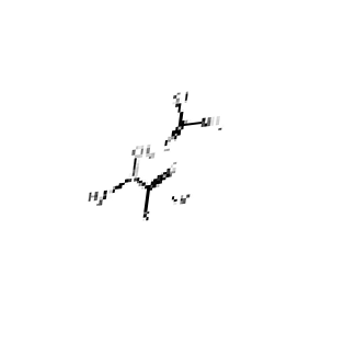 CN(C)C(=S)[S-].NC(=S)S.[Na+]